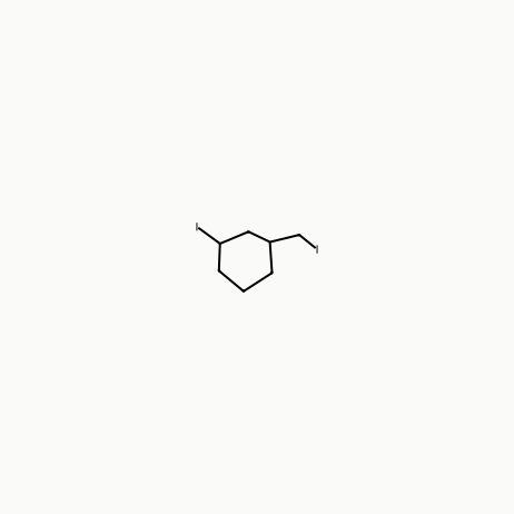 ICC1CCCC(I)C1